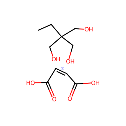 CCC(CO)(CO)CO.O=C(O)/C=C\C(=O)O